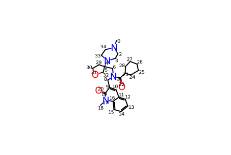 CN1CCN(C2(CN(Cc3cc4ccccc4n(C)c3=O)C(=O)C3CCCCC3)CCOC2)CC1